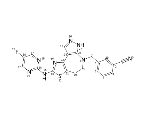 N#Cc1cccc(CN2CCc3sc(Nc4ncc(F)cn4)nc3-c3cn[nH]c32)c1